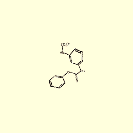 CCOC(=O)Nc1cccc(NC(=O)Oc2ccccc2)c1